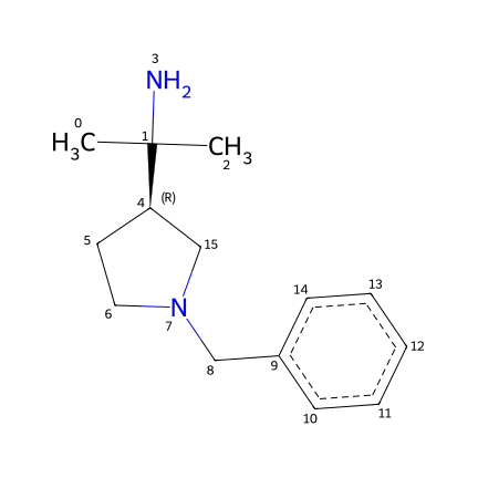 CC(C)(N)[C@@H]1CCN(Cc2ccccc2)C1